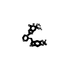 CC1(C)Cc2nc(N3CCOC[C@@H]3Cc3c[nH]c4cc5c(cc34)OC(F)(F)O5)sc2C(=O)N1